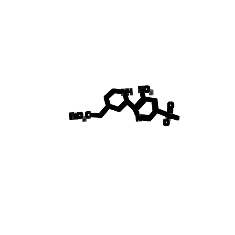 CCOC(=O)CC1CCNC(c2ncc(S(C)(=O)=O)cc2[N+](=O)[O-])C1